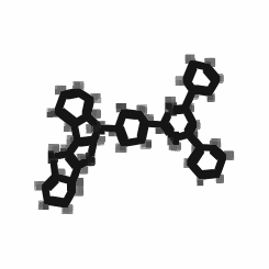 c1ccc(-c2cc(-c3ccccc3)nc(-c3ccc(-n4c5ccccc5c5c6sc7ccccc7c6sc54)cc3)n2)cc1